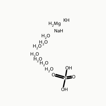 O.O.O.O.O.O.O.O=S(=O)(O)O.[KH].[MgH2].[NaH]